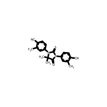 Cc1cc(N2C(=O)C(C)(C)N(c3ccc(C#N)c(C(F)(F)F)c3)C2=S)ccc1C#N